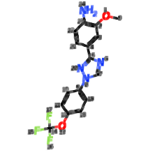 COc1cc(-c2ncn(-c3ccc(OC(F)(F)F)cc3)n2)ccc1N